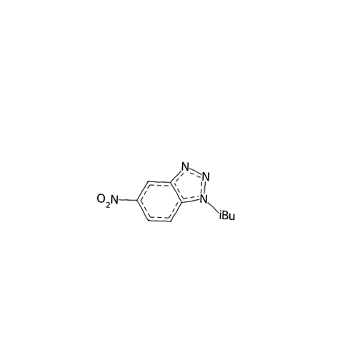 CCC(C)n1nnc2cc([N+](=O)[O-])ccc21